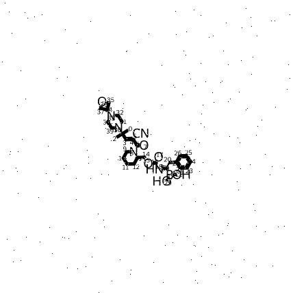 CC(C)(C=C(C#N)C(=O)N1CCCCC1COC(=O)N[C@@H](Cc1ccccc1)B(O)O)N1CCN(C2COC2)CC1